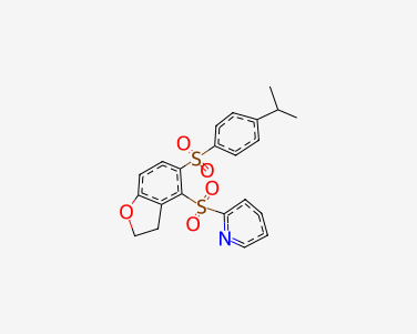 CC(C)c1ccc(S(=O)(=O)c2ccc3c(c2S(=O)(=O)c2ccccn2)CCO3)cc1